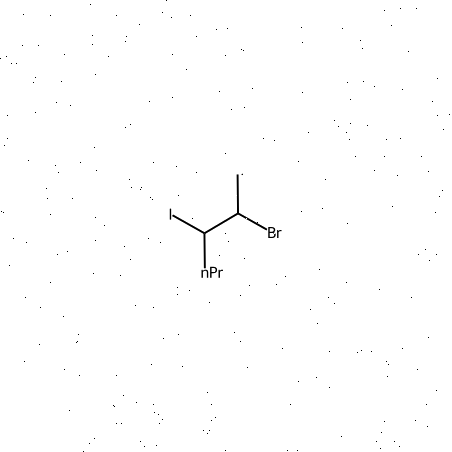 [CH2]C(Br)C(I)CCC